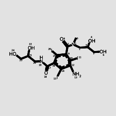 CN(CC(O)CO)C(=O)c1c(I)c(N)c(I)c(C(=O)NCC(O)CO)c1I